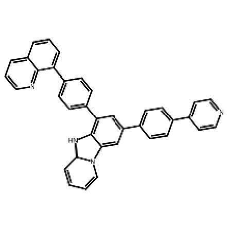 C1=CC2Nc3c(-c4ccc(-c5cccc6cccnc56)cc4)cc(-c4ccc(-c5ccncc5)cc4)cc3N2C=C1